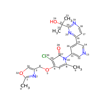 Cc1nc(COc2cc(C)n(-c3cncc(-c4ccnc(C(C)(C)O)n4)c3)c(=O)c2Cl)co1